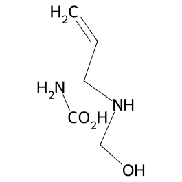 C=CCNCO.NC(=O)O